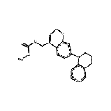 CC(C)(C)OC(=O)NCC1=CCOc2cc(N3CCCc4ccccc43)ccc21